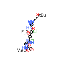 COC(=O)N[C@H](C(=O)N1C[C@@H](C)C[C@H]1c1nc(-c2ccc(-c3cc(Cl)c(C(=O)Nc4ccc(NCCCCCC(=O)C(C)(C)C)nc4)cc3OC(F)(F)F)cc2)c(Cl)[nH]1)C1CCOCC1